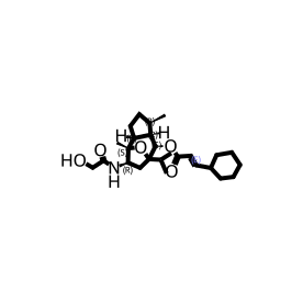 CC(C)C12C[C@@H](NC(=O)CO)[C@@](C)(O1)[C@@H]1CC[C@@H](C)[C@H]1[C@@H]2OC(=O)/C=C/C1CCCCC1